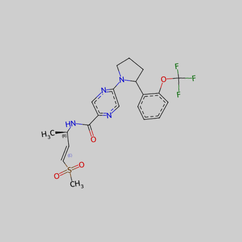 C[C@H](/C=C/S(C)(=O)=O)NC(=O)c1cnc(N2CCCC2c2ccccc2OC(F)(F)F)cn1